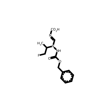 CC(CF)N(C=NC(=O)O)NC(=O)OCc1ccccc1